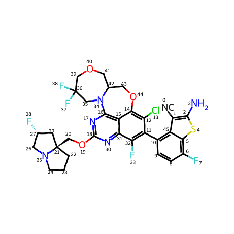 N#Cc1c(N)sc2c(F)ccc(-c3c(Cl)c4c5c(nc(OC[C@@]67CCCN6C[C@H](F)C7)nc5c3F)N3CC(F)(F)COCC3CO4)c12